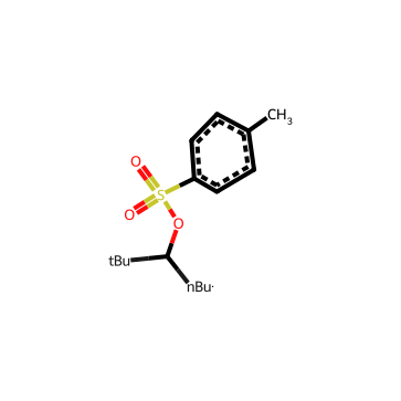 CCC[CH]C(OS(=O)(=O)c1ccc(C)cc1)C(C)(C)C